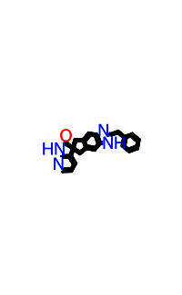 O=C1Nc2ncccc2C12Cc1cc3nc(Cc4ccccc4)[nH]c3cc1C2